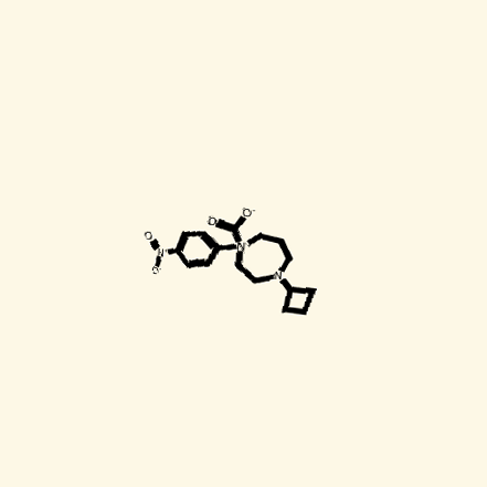 O=C([O-])[N+]1(c2ccc([N+](=O)[O-])cc2)CCCN(C2CCC2)CC1